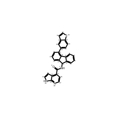 O=C(NC1c2ccccc2-c2c(-c3ccc4sccc4c3)cccc21)c1ccnc2[nH]ccc12